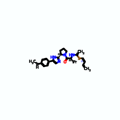 C=C/C=C\SC(=C)N[C@H](C(=O)N1CCC[C@H]1c1ncc(-c2ccc(BC)cc2)[nH]1)C(C)C